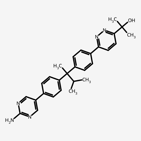 CC(C)C(C)(c1ccc(-c2cnc(N)nc2)cc1)c1ccc(-c2ccc(C(C)(C)O)nn2)cc1